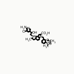 CC(Cc1ccc2c(c1)cc(C(=O)O)n2Cc1cccc(N(C)S(C)(=O)=O)c1)NCC(O)c1cnc(N)c(Cl)c1